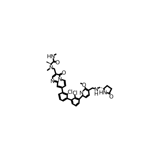 CNC(=O)[C@H](C)N(C)Cc1cnc2cc(-c3cccc(-c4cccc(-c5ccc(CNC[C@@H]6CCC(=O)N6)c(OC)n5)c4Cl)c3Cl)ccn2c1=O